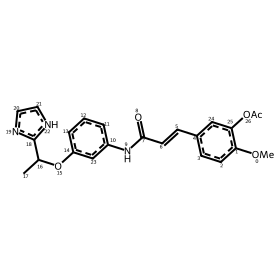 COc1ccc(/C=C/C(=O)Nc2cccc(OC(C)c3ncc[nH]3)c2)cc1OC(C)=O